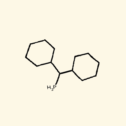 PC(C1CCCCC1)C1CCCCC1